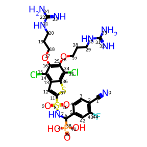 N#Cc1ccc(C(NS(=O)(=O)c2cc3c(Cl)c(OCCCNC(=N)N)c(OCCCNC(=N)N)c(Cl)c3s2)P(=O)(O)O)cc1F